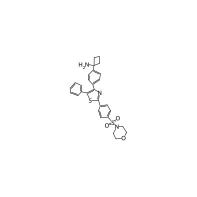 NC1(c2ccc(-c3nc(-c4ccc(S(=O)(=O)N5CCOCC5)cc4)sc3-c3ccccc3)cc2)CCC1